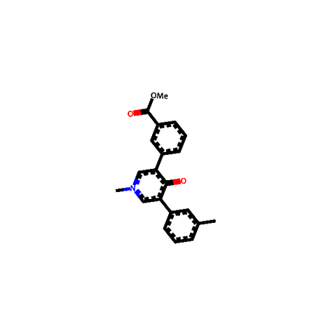 COC(=O)c1cccc(-c2cn(C)cc(-c3cccc(C)c3)c2=O)c1